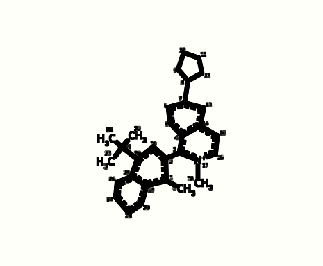 Cc1c(-c2c3ccc(C4CCCC4)cc3cc[n+]2C)cc(C(C)(C)C)c2ccccc12